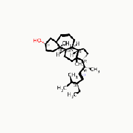 CC[C@H](/C=C/[C@@H](C)[C@H]1CC[C@H]2[C@@H]3CC=CC4C[C@@H](O)CC[C@]4(C)[C@H]3CCC12C)C(C)C